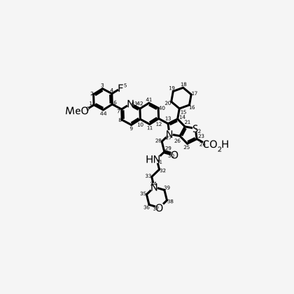 COc1ccc(F)c(-c2ccc3cc(-c4c(C5CCCCC5)c5sc(C(=O)O)cc5n4CC(=O)NCCN4CCOCC4)ccc3n2)c1